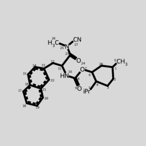 CC1CCC(C(C)C)C(OC(=O)NC(Cc2ccc3ccccc3c2)C(=O)N(C)C#N)C1